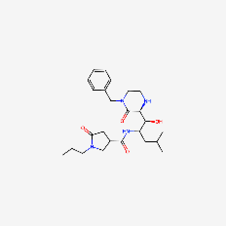 CCCN1CC(C(=O)NC(CC(C)C)[C@H](O)[C@@H]2NCCN(Cc3ccccc3)C2=O)CC1=O